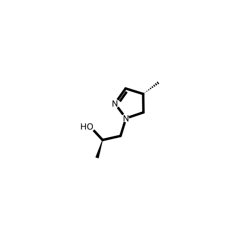 C[C@@H](O)CN1C[C@@H](C)C=N1